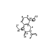 C=C(C)C(Cc1ccccc1OC)C(=C)OCC